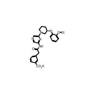 CCOc1ccccc1O[C@@H]1CCCN(c2cncc(NC(=O)Cc3cccc(C(=O)O)c3)n2)C1